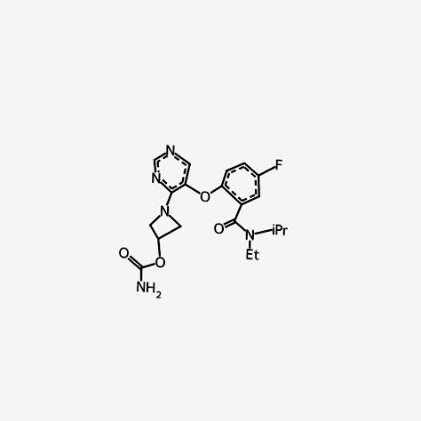 CCN(C(=O)c1cc(F)ccc1Oc1cncnc1N1CC(OC(N)=O)C1)C(C)C